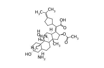 CC(=O)O[C@H]1C[C@@]2(C)[C@@H](C[C@@H](O)[C@H]3[C@@]4(C)CC[C@@H](O)[C@@H](N)[C@@H]4CC[C@@]32CN)/C1=C(/C(=O)O)C1CCC(=C(C)C)C1